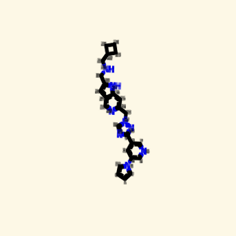 c1ccn(-c2cncc(-c3ncn(Cc4cc5[nH]c(CNCC6CCC6)cc5cn4)n3)c2)c1